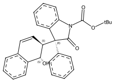 CC(C)(C)OC(=O)N1C(=O)[C@@](c2ccccc2)([C@@H]2C=Cc3ccccc3[C@H]2O)c2ccccc21